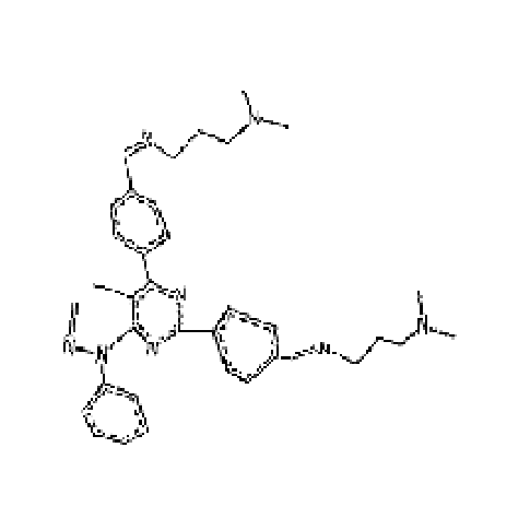 C=NN(c1ccccc1)c1nc(-c2ccc(/C=N/CCCN(C)C)cc2)nc(-c2ccc(/C=N\CCCN(C)C)cc2)c1C